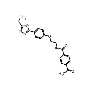 CSc1nnc(-c2ccc(OCCNC(=O)c3ccc(C(C)=O)cc3)cc2)o1